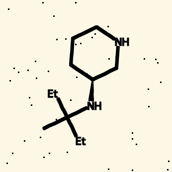 CCC(C)(CC)N[C@H]1CCCNC1